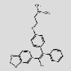 CC/C(=C(\c1ccccc1)c1ccc(OCCN(C)C)cc1)c1ccc2c(c1)OCO2